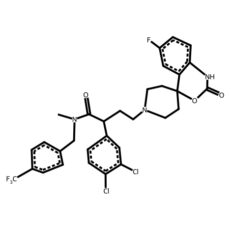 CN(Cc1ccc(C(F)(F)F)cc1)C(=O)C(CCN1CCC2(CC1)OC(=O)Nc1ccc(F)cc12)c1ccc(Cl)c(Cl)c1